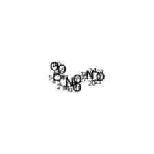 C[C@H](Cc1ccc2c(c1)OCO2)N(C)C(=O)OCCN1CCOCC1